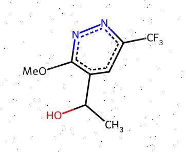 COc1nnc(C(F)(F)F)cc1C(C)O